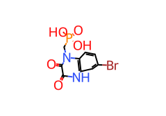 O=c1[nH]c2cc(Br)ccc2n(CP(=O)(O)O)c1=O